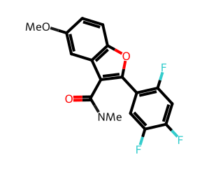 CNC(=O)c1c(-c2cc(F)c(F)cc2F)oc2ccc(OC)cc12